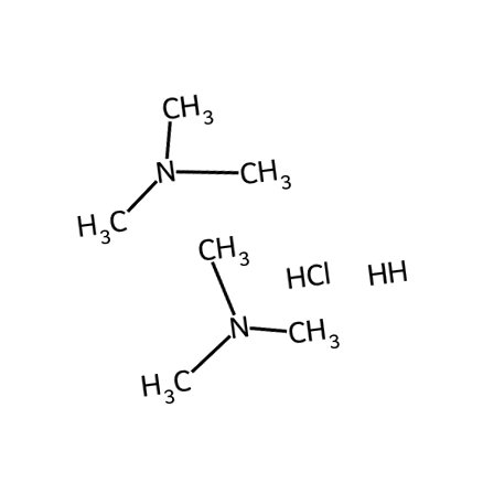 CN(C)C.CN(C)C.Cl.[HH]